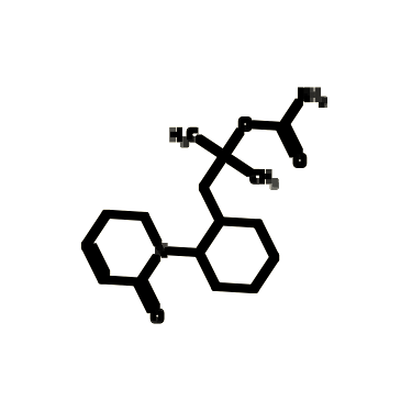 CC(C)(CC1CCCCC1N1CCC=CC1=O)OC(N)=O